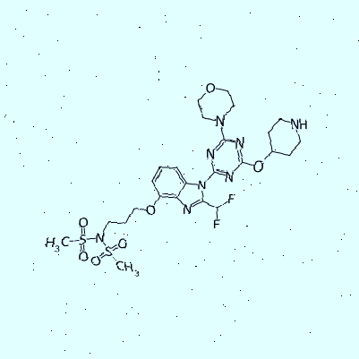 CS(=O)(=O)N(CCCOc1cccc2c1nc(C(F)F)n2-c1nc(OC2CCNCC2)nc(N2CCOCC2)n1)S(C)(=O)=O